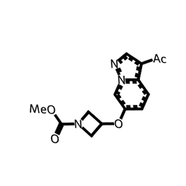 COC(=O)N1CC(Oc2ccc3c(C(C)=O)cnn3c2)C1